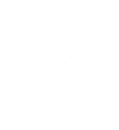 Cc1c(Cc2ccccc2F)c(C)n(CC(N)c2ccccc2)c(=O)c1-c1ccccc1F